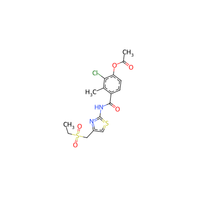 CCS(=O)(=O)Cc1csc(NC(=O)c2ccc(OC(C)=O)c(Cl)c2C)n1